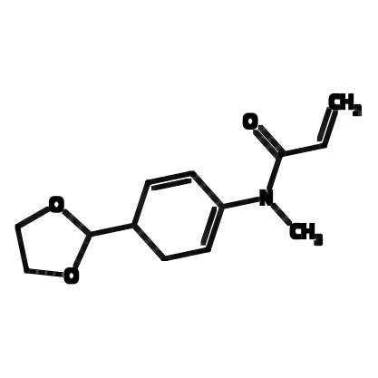 C=CC(=O)N(C)C1=CCC(C2OCCO2)C=C1